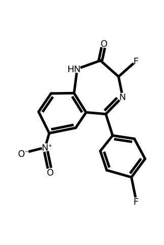 O=C1Nc2ccc([N+](=O)[O-])cc2C(c2ccc(F)cc2)=NC1F